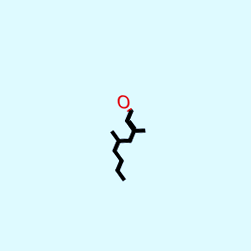 CCCCC(C)CC(C)=CC=O